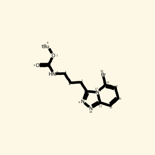 CC(C)(C)OC(=O)NCCCc1nnc2cccc(Br)n12